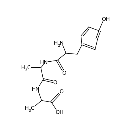 CC(NC(=O)C(C)NC(=O)C(N)Cc1ccc(O)cc1)C(=O)O